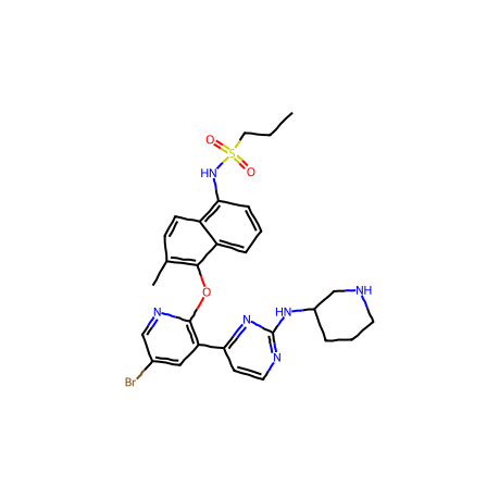 CCCS(=O)(=O)Nc1cccc2c(Oc3ncc(Br)cc3-c3ccnc(NC4CCCNC4)n3)c(C)ccc12